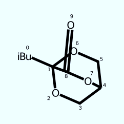 CCC(C)C12OCC(CO1)OC2=O